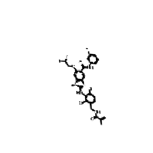 C=C(C)C(=O)NCc1ccc(Cl)c(Nc2nc3cc(C(=O)Nc4cccc(F)c4)c(OCC(F)F)cc3n2C)c1Cl